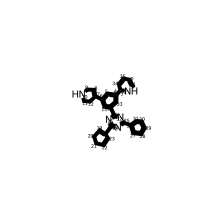 C1=CNC(c2cc(C3=CCNCC3)cc(-c3nc(C4=CCCC=C4)nc(-c4ccccc4)n3)c2)C=C1